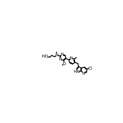 COc1nc(N(C)CCCO)ncc1-c1ccc(Cc2c[nH]c3ncc(Cl)cc23)c(C)n1